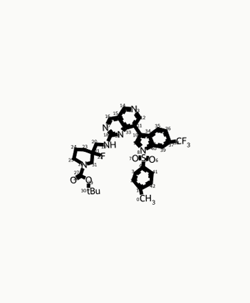 Cc1ccc(S(=O)(=O)n2cc(-c3cncc4cnc(NCC5(F)CCCN(C(=O)OC(C)(C)C)C5)nc34)c3ccc(C(F)(F)F)cc32)cc1